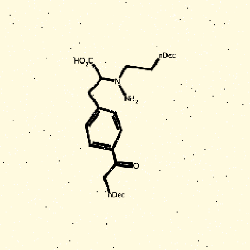 CCCCCCCCCCCCN(N)C(Cc1ccc(C(=O)CCCCCCCCCCC)cc1)C(=O)O